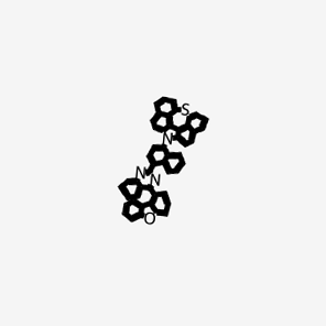 c1ccc2c(-c3cccc4oc5ccccc5c34)nc(-c3ccc(-n4c5ccc6cccc7sc8cccc9ccc4c(c98)c5c67)c4ccccc34)nc2c1